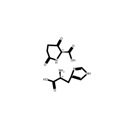 N[C@@H](Cc1c[nH]cn1)C(=O)O.O=C1CCC(=O)[C@@H](C(=O)O)N1